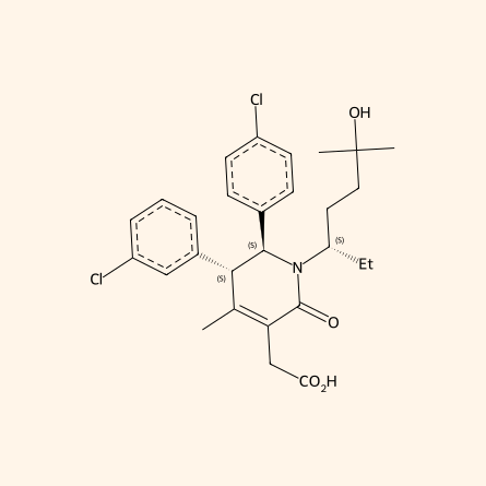 CC[C@@H](CCC(C)(C)O)N1C(=O)C(CC(=O)O)=C(C)[C@H](c2cccc(Cl)c2)[C@H]1c1ccc(Cl)cc1